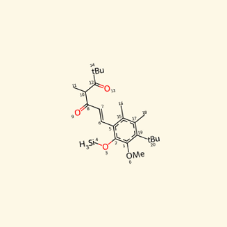 COc1c(O[SiH3])c(C=CC(=O)C(C)C(=O)C(C)(C)C)c(C)c(C)c1C(C)(C)C